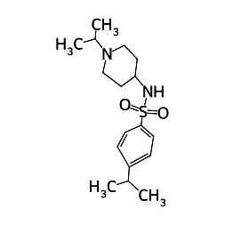 CC(C)c1ccc(S(=O)(=O)NC2CCN(C(C)C)CC2)cc1